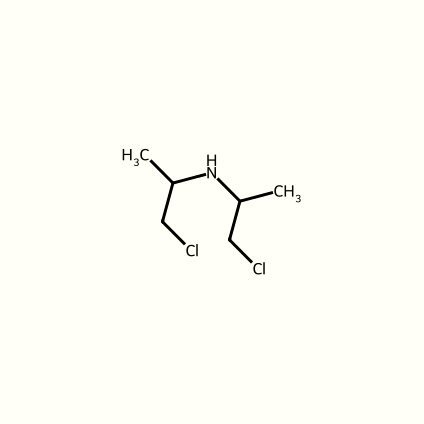 CC(CCl)NC(C)CCl